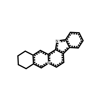 c1ccc2c(c1)[n-]c1c2cc[n+]2cc3c(cc12)CCCC3